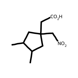 CC1CC(CC(=O)O)(C[N+](=O)[O-])CC1C